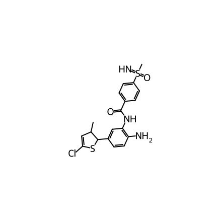 CC1C=C(Cl)SC1c1ccc(N)c(NC(=O)c2ccc(S(C)(=N)=O)cc2)c1